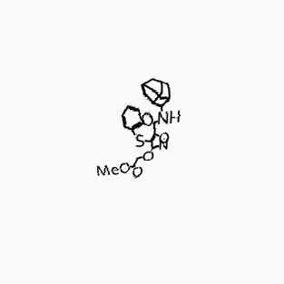 COC(=O)COc1noc(C(=O)NC2C3CC4CC(C3)CC2C4)c1Sc1ccccc1